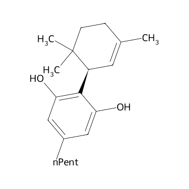 CCCCCc1cc(O)c([C@@H]2C=C(C)CCC2(C)C)c(O)c1